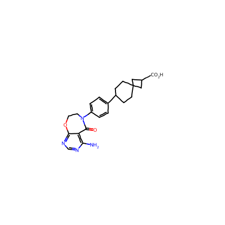 Nc1ncnc2c1C(=O)N(c1ccc(C3CCC4(CC3)CC(C(=O)O)C4)cc1)CCO2